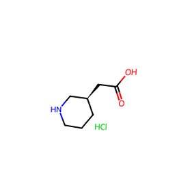 Cl.O=C(O)C[C@H]1CCCNC1